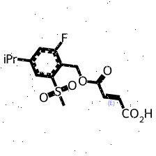 CC(C)c1cc(F)c(COC(=O)/C=C/C(=O)O)c(S(C)(=O)=O)c1